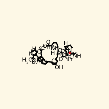 CCn1c(-c2cccnc2[C@H](C)OC)c2c3cc(ccc31)-c1cc(O)cc(c1)C[C@H](NC(=O)[C@H](C(C)C)N(C)C(=O)[C@]13C[C@H]1CCN3C(=O)[C@H]1CN1)C(=O)N1CCC[C@H](N1)C(=O)OCC(C)(C)C2